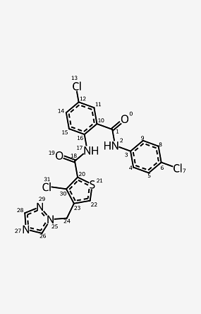 O=C(Nc1ccc(Cl)cc1)c1cc(Cl)ccc1NC(=O)c1scc(Cn2cncn2)c1Cl